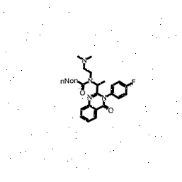 CCCCCCCCCC(=O)N(CCN(C)C)C(C)c1nc2ccccc2c(=O)n1-c1ccc(F)cc1